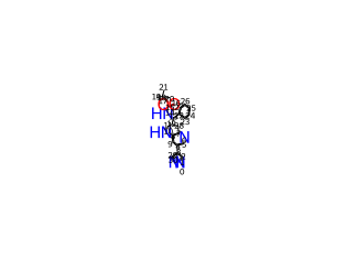 Cn1cc(-c2cnc3c(c2)NCC([C@H](NC(=O)OC(C)(C)C)c2ccccc2)C3)cn1